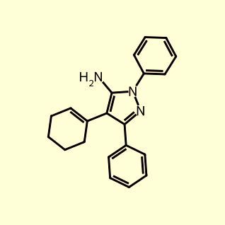 Nc1c(C2=CCCCC2)c(-c2ccccc2)nn1-c1ccccc1